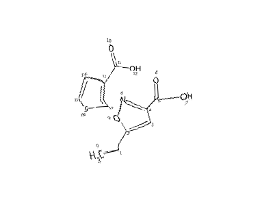 CCc1cc(C(=O)O)no1.O=C(O)c1ccsc1